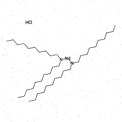 CCCCCCCCCC[N](CCCCCCCCCC)[Nd][N](CCCCCCCCCC)CCCCCCCCCC.Cl